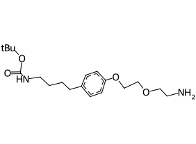 CC(C)(C)OC(=O)NCCCCc1ccc(OCCOCCN)cc1